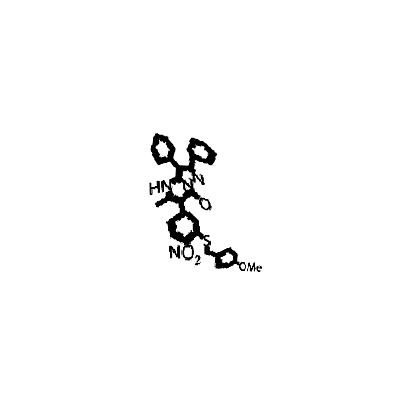 COc1ccc(CSc2cc(-c3c(C)[nH]c4c(-c5ccccc5)c(-c5ccccc5)nn4c3=O)ccc2[N+](=O)[O-])cc1